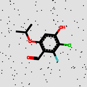 CC(C)Oc1cc(O)c(Cl)c(F)c1C=O